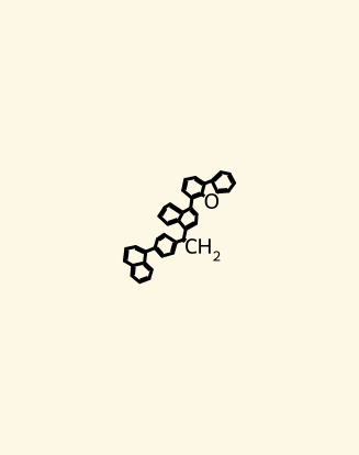 C=C(c1ccc(-c2cccc3ccccc23)cc1)c1ccc(-c2cccc3c2oc2ccccc23)c2ccccc12